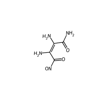 NC(=O)/C(N)=C(/N)C(=O)N=O